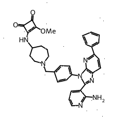 COc1c(NC2CCCN(Cc3ccc(-n4c(-c5cccnc5N)nc5ccc(-c6ccccc6)nc54)cc3)CC2)c(=O)c1=O